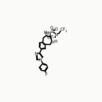 O=S1(=O)N[C@@]2(CN1CC(F)(F)F)[C@@H]1CC[C@H]2Cc2ccc(-c3cn(-c4ccc(F)cc4)cn3)cc2C1